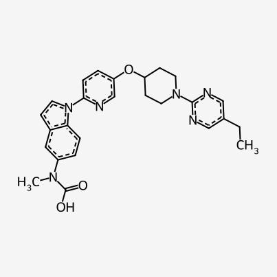 CCc1cnc(N2CCC(Oc3ccc(-n4ccc5cc(N(C)C(=O)O)ccc54)nc3)CC2)nc1